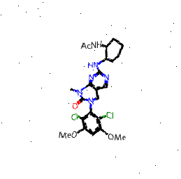 COc1cc(OC)c(Cl)c(N2Cc3cnc(NC4CCCCC4NC(C)=O)nc3N(C)C2=O)c1Cl